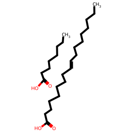 CCCCCCCC(=O)O.CCCCCCCCC=CCCCCCCCC(=O)O